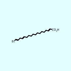 CCC=CCC=CCCCCCCCCCCC=CC(=O)O